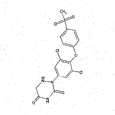 CS(=O)(=O)c1ccc(Oc2c(Cl)cc(N3NCC(=O)NC3=O)cc2Cl)cc1